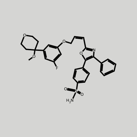 COC1(c2cc(F)cc(OC/C=C\c3nc(-c4ccccc4)c(-c4ccc(S(N)(=O)=O)cc4)o3)c2)CCOCC1